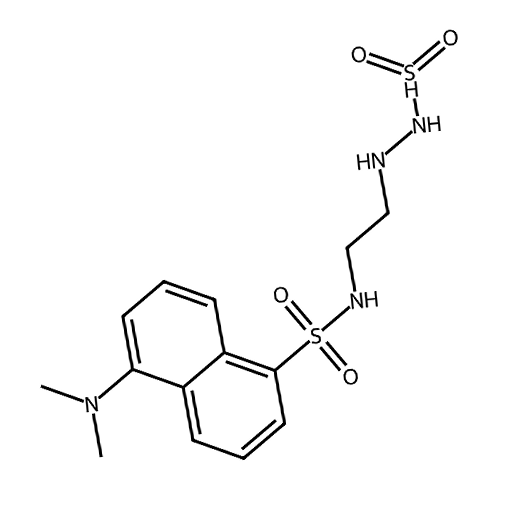 CN(C)c1cccc2c(S(=O)(=O)NCCNN[SH](=O)=O)cccc12